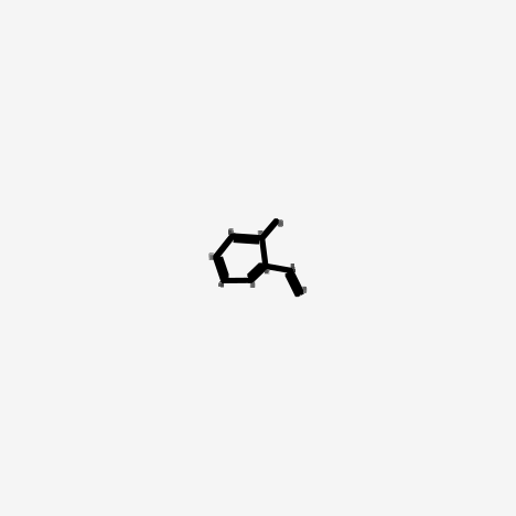 C=[C]c1ccccc1C